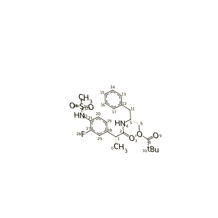 C[C@@H](C(=O)N[C@@H](COC(=O)C(C)(C)C)Cc1ccccc1)c1ccc(NS(C)(=O)=O)c(F)c1